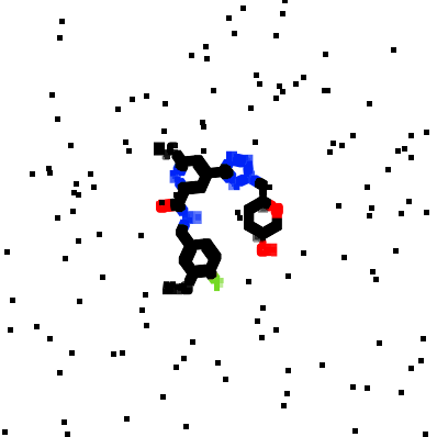 COc1cc(CNC(=O)c2cc(-c3nnn(C[C@@H]4CC[C@@H](O)CO4)n3)cc(C)n2)ccc1F